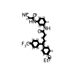 CCOc1ccc(C(=CC=CC(=O)Nc2cccc(NC(=O)CC#N)c2)c2ccc(C(F)(F)F)cc2)cc1